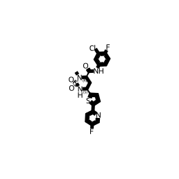 CN1[C@@H](C(=O)Nc2ccc(F)c(Cl)c2)C[C@@H](c2ccc(-c3ccc(F)cn3)s2)NS1(=O)=O